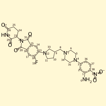 Nc1cc(N2CCN(CC3CCN(c4cc5c(cc4F)C(=O)N(C4CCC(=O)NC4=O)C5=O)C3)CC2)ccc1[N+](=O)[O-]